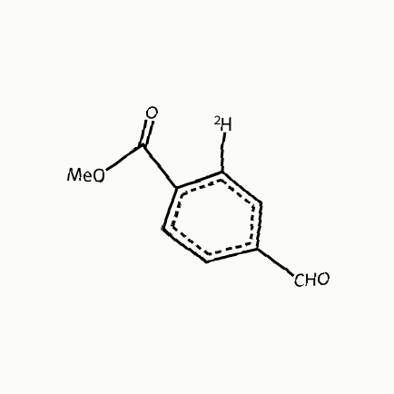 [2H]c1cc(C=O)ccc1C(=O)OC